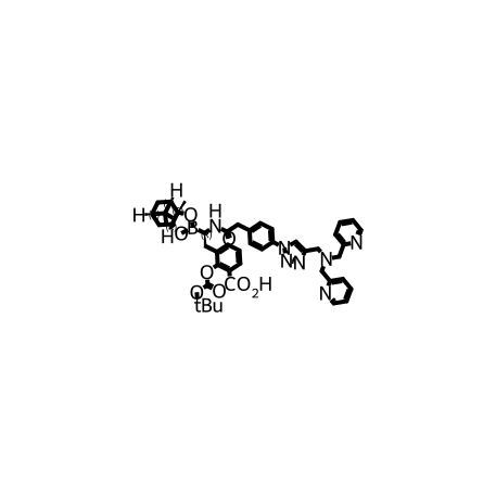 CC(C)(C)OC(=O)Oc1c(C[C@H](NC(=O)Cc2ccc(-n3cc(CN(Cc4ccccn4)Cc4ccccn4)nn3)cc2)B2O[C@@H]3C[C@@H]4C[C@@H](C4(C)C)[C@]3(C)O2)cccc1C(=O)O